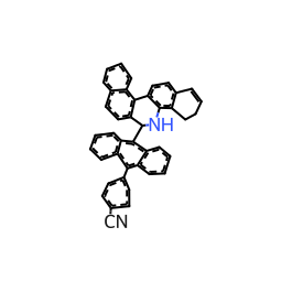 N#Cc1ccc(-c2c3ccccc3c(C3Nc4c(ccc5c4CCC=C5)-c4c3ccc3ccccc43)c3ccccc23)cc1